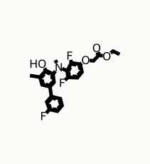 CCOC(=O)COc1ccc(F)c(N(C)c2cc(-c3cccc(F)c3)cc(C)c2O)c1F